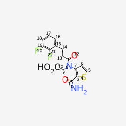 NC(=O)c1sccc1N(CC(=O)O)C(=O)CCc1cccc(F)c1F